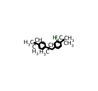 CC(C)(C)c1ccc(C(C)(C)Cc2ccc(C(C)(C)C)c(F)c2)cc1